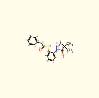 CC(C)(C)C(=O)Nc1ccccc1SC(=O)Cc1ccccc1